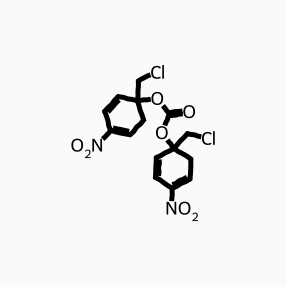 O=C(OC1(CCl)C=CC([N+](=O)[O-])=CC1)OC1(CCl)C=CC([N+](=O)[O-])=CC1